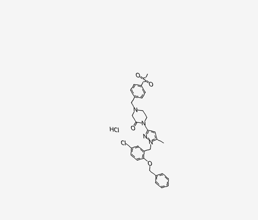 Cc1cc(N2CCN(Cc3ccc(S(C)(=O)=O)cc3)CC2=O)nn1Cc1cc(Cl)ccc1OCc1ccccc1.Cl